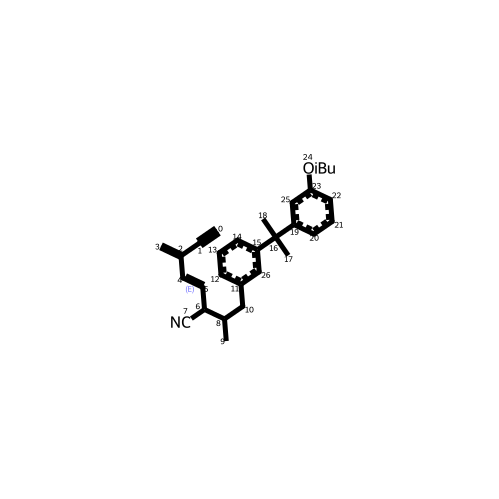 C#CC(=C)/C=C/C(C#N)C(C)Cc1cccc(C(C)(C)c2cccc(OCC(C)C)c2)c1